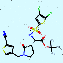 CC(C)(C)OC(=O)C(NS(=O)(=O)c1cc(Cl)c(Cl)s1)[C@@H]1CCN(Cc2csc(C#N)c2)C1=O